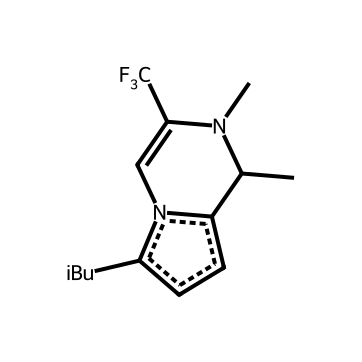 CCC(C)c1ccc2n1C=C(C(F)(F)F)N(C)C2C